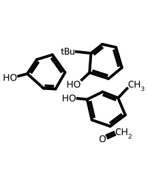 C=O.CC(C)(C)c1ccccc1O.Cc1cccc(O)c1.Oc1ccccc1